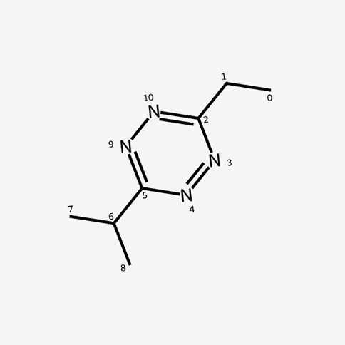 CCc1nnc(C(C)C)nn1